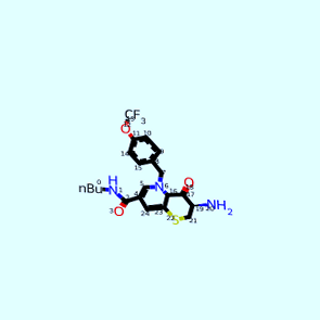 CCCCNC(=O)C1=CN(Cc2ccc(OC(F)(F)F)cc2)C2C(=O)[C@@H](N)CSC2=C1